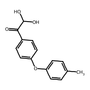 Cc1ccc(Oc2ccc(C(=O)C(O)O)cc2)cc1